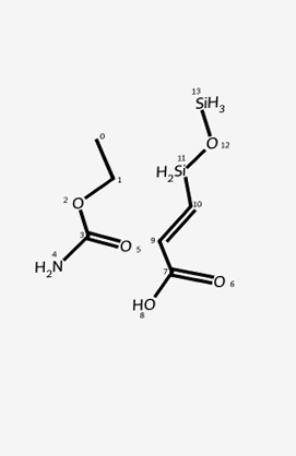 CCOC(N)=O.O=C(O)C=C[SiH2]O[SiH3]